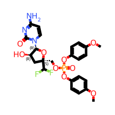 COc1ccc(OP(=O)(OC[C@]2(C(F)F)C[C@@H](O)[C@H](n3ccc(N)nc3=O)O2)Oc2ccc(OC)cc2)cc1